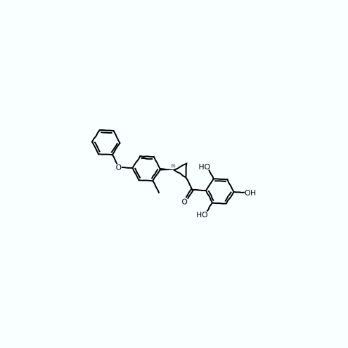 Cc1cc(Oc2ccccc2)ccc1[C@H]1CC1C(=O)c1c(O)cc(O)cc1O